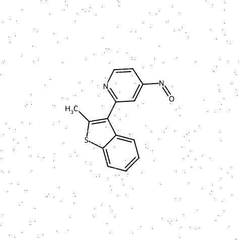 Cc1sc2ccccc2c1-c1cc(N=O)ccn1